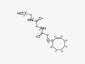 O=C(O)CNC(=O)CNC(=O)COC1/C=C\CCCCC1